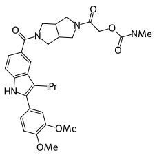 CNC(=O)OCC(=O)N1CC2CN(C(=O)c3ccc4[nH]c(-c5ccc(OC)c(OC)c5)c(C(C)C)c4c3)CC2C1